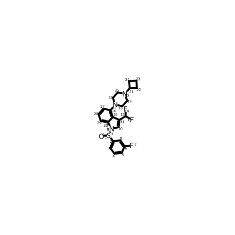 [O-][S+](c1cccc(F)c1)n1cc(C(F)F)c2c(N3CCN(C4CCC4)CC3)cccc21